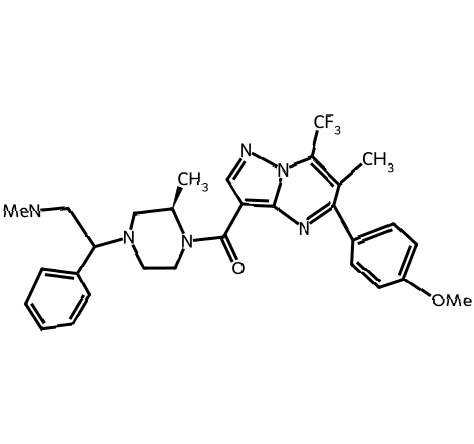 CNCC(c1ccccc1)N1CCN(C(=O)c2cnn3c(C(F)(F)F)c(C)c(-c4ccc(OC)cc4)nc23)[C@H](C)C1